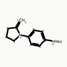 C=C1CCCN1c1ccc(CCCCCC)cc1